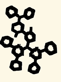 Cc1ccc(N(c2nc(-c3ccccc3)cc(-c3ccccc3)n2)c2nc(-c3ccccc3)cc(-c3ccccc3)n2)cc1C1=CC(N(c2ccccc2)c2ccccc2)=CCC1C